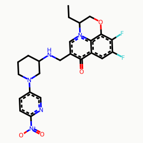 CCC1COc2c(F)c(F)cc3c(=O)c(CNC4CCCN(c5ccc([N+](=O)[O-])nc5)C4)cn1c23